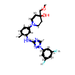 COCC1(O)CCN(c2ccc(C)c(Nc3ncn(-c4cc(F)cc(F)c4)n3)c2)CC1